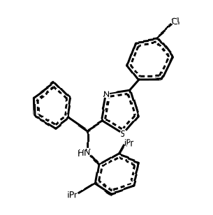 CC(C)c1cccc(C(C)C)c1NC(c1ccccc1)c1nc(-c2ccc(Cl)cc2)cs1